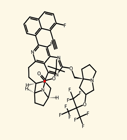 C#Cc1c(F)ccc2cccc(-c3nc4c5c(nc(OC[C@@]67CCCN6CC(OC(C(F)(F)F)(C(F)(F)F)C(F)(F)F)C7)nc5c3F)N3C[C@H]5CC[C@@H]([C@H]3CC4)N5C(=O)OC(C)(C)C)c12